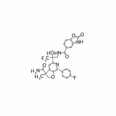 C[C@]1(C(N)=O)COc2c1cc(C(O)(CNC(=O)c1ccc3oc(=O)[nH]c3c1)C(F)(F)F)nc2-c1ccc(F)cc1